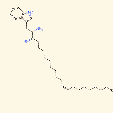 CCCCCCCC/C=C\CCCCCCCCCC(=N)C(N)Cc1c[nH]c2ccccc12